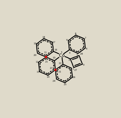 C1=C[C]([Co]([c]2ccccc2)([c]2ccccc2)([c]2ccccc2)[c]2ccccc2)=C1